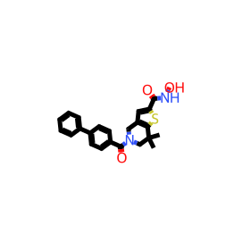 CC1(C)CN(C(=O)c2ccc(-c3ccccc3)cc2)Cc2cc(C(=O)NO)sc21